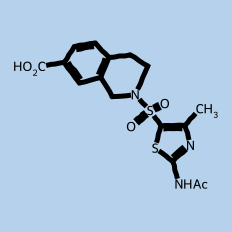 CC(=O)Nc1nc(C)c(S(=O)(=O)N2CCc3ccc(C(=O)O)cc3C2)s1